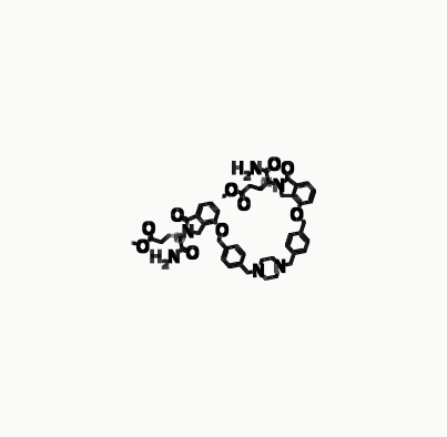 COC(=O)CC[C@@H](C(N)=O)N1Cc2c(OCc3ccc(CN4CCN(Cc5ccc(COc6cccc7c6CN([C@@H](CCC(=O)OC)C(N)=O)C7=O)cc5)CC4)cc3)cccc2C1=O